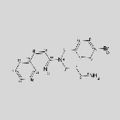 NCCCN(Cc1ccc(Br)cc1)c1ccc2ccccc2n1